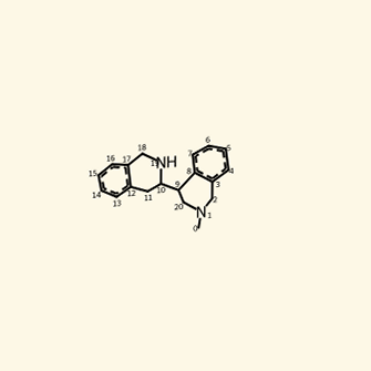 CN1Cc2ccccc2C(C2Cc3ccccc3CN2)C1